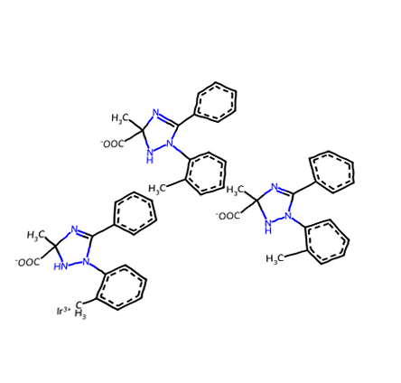 Cc1ccccc1N1NC(C)(C(=O)[O-])N=C1c1ccccc1.Cc1ccccc1N1NC(C)(C(=O)[O-])N=C1c1ccccc1.Cc1ccccc1N1NC(C)(C(=O)[O-])N=C1c1ccccc1.[Ir+3]